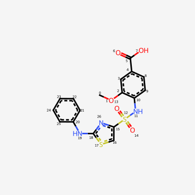 COc1cc(C(=O)O)ccc1NS(=O)(=O)c1csc(Nc2ccccc2)n1